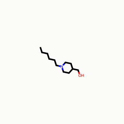 CCCCCCN1CCC(CO)CC1